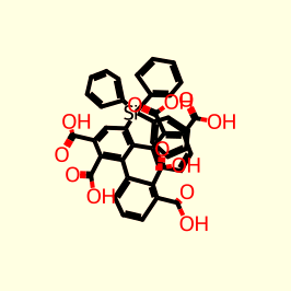 O=C(O)c1cccc(-c2c([Si](c3ccccc3)(c3ccccc3)c3ccccc3)cc(C(=O)O)c(C(=O)O)c2-c2cccc(C(=O)O)c2C(=O)O)c1C(=O)O